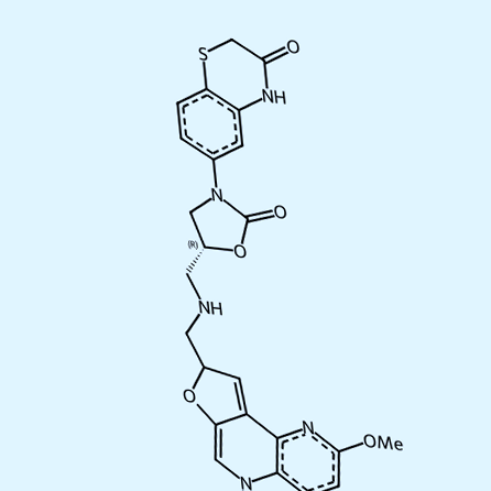 COc1ccc2c(n1)C1=CC(CNC[C@@H]3CN(c4ccc5c(c4)NC(=O)CS5)C(=O)O3)OC1=CN2